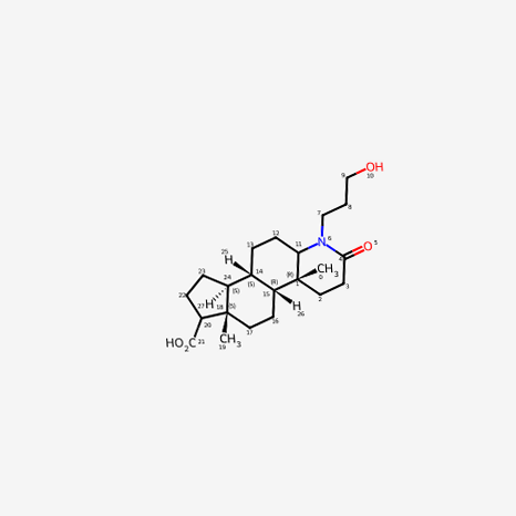 C[C@]12CCC(=O)N(CCCO)C1CC[C@@H]1[C@H]2CC[C@]2(C)C(C(=O)O)CC[C@@H]12